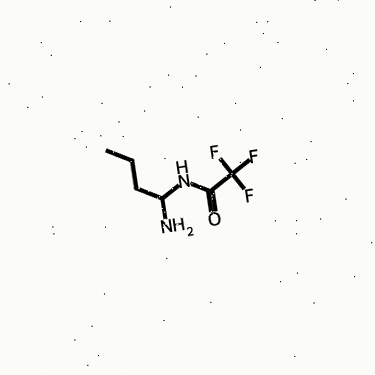 CCCC(N)NC(=O)C(F)(F)F